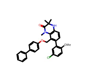 COc1ccc(Cl)cc1-c1ccc2c(c1COc1ccc(-c3ccccc3)cc1)N(C)C(=O)C(C)(C)N2